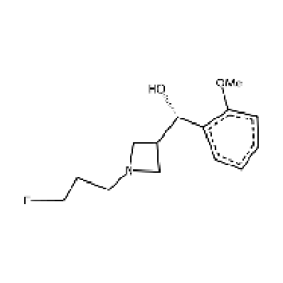 COc1ccccc1[C@@H](O)C1CN(CCCF)C1